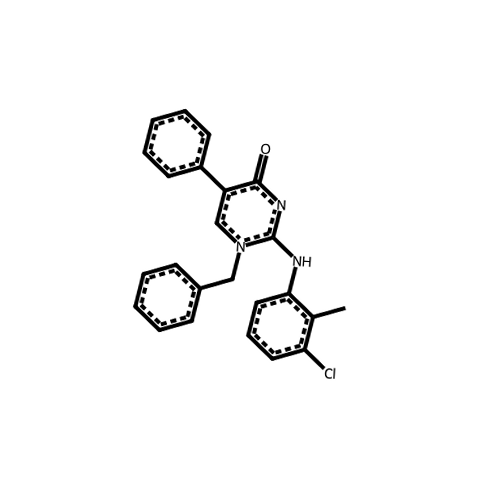 Cc1c(Cl)cccc1Nc1nc(=O)c(-c2ccccc2)cn1Cc1ccccc1